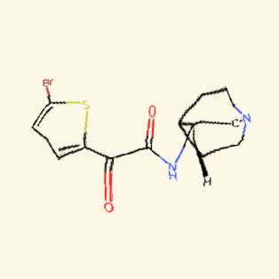 O=C(N[C@H]1CN2CCC1CC2)C(=O)c1ccc(Br)s1